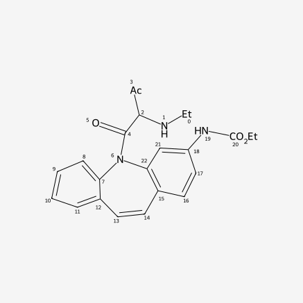 CCNC(C(C)=O)C(=O)N1c2ccccc2C=Cc2ccc(NC(=O)OCC)cc21